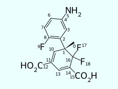 C[C@]1(c2cc(N)ccc2F)C=C(C(=O)O)C=C(C(=O)O)C1(F)F